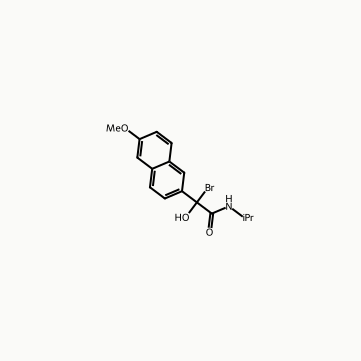 COc1ccc2cc(C(O)(Br)C(=O)NC(C)C)ccc2c1